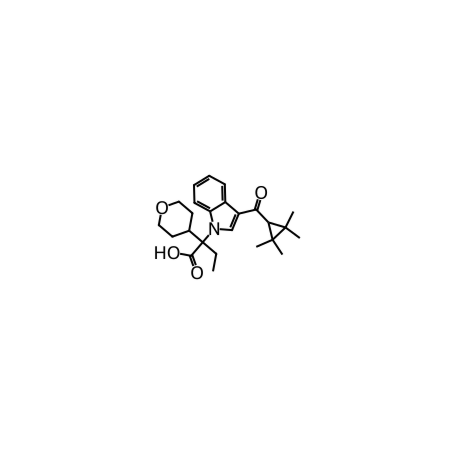 CCC(C(=O)O)(C1CCOCC1)n1cc(C(=O)C2C(C)(C)C2(C)C)c2ccccc21